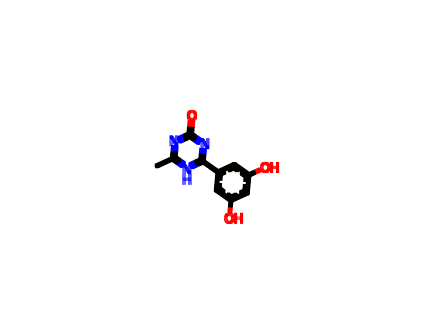 Cc1nc(=O)nc(-c2cc(O)cc(O)c2)[nH]1